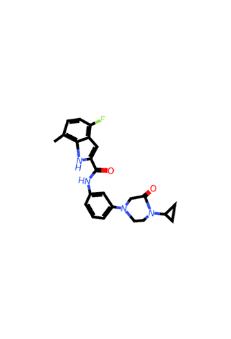 Cc1ccc(F)c2cc(C(=O)Nc3cccc(N4CCN(C5CC5)C(=O)C4)c3)[nH]c12